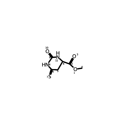 COC(=O)C1CC(=S)NC(=O)N1